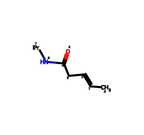 C/C=C/CC(=O)NC(C)C